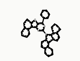 c1ccc(-c2nc(-n3c4ccc5ccccc5c4c4ccc5ccccc5c43)nc3c2oc2ccc4ccccc4c23)cc1